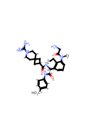 CCN(C(=O)CN)c1cccc2c1CCN(C(=O)C1CC3(CCN(C(=N)N)CC3)C1)[C@H]2C(=O)Nc1ccc(C(=O)O)cc1